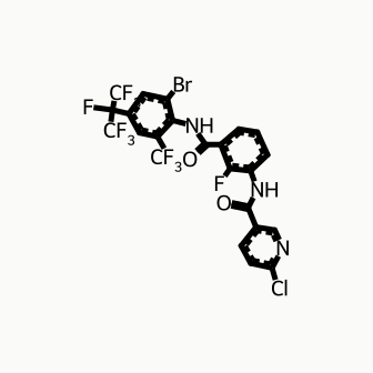 O=C(Nc1cccc(C(=O)Nc2c(Br)cc(C(F)(C(F)(F)F)C(F)(F)F)cc2C(F)(F)F)c1F)c1ccc(Cl)nc1